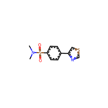 CN(C)S(=O)(=O)c1ccc(-c2cscn2)cc1